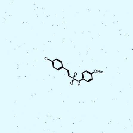 COc1ccc(NS(=O)(=O)C=Cc2ccc(Cl)cc2)cc1